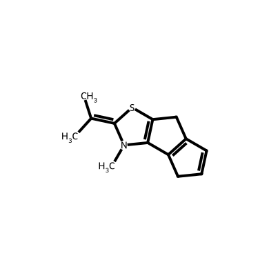 CC(C)=C1SC2=C(C3=C(C=CC3)C2)N1C